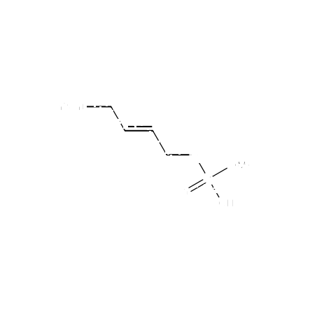 CCCCCCC=CCOP(=O)(O)OC